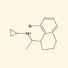 CC(NC1CC1)C1CCCc2cccc(Br)c21